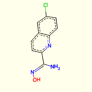 N/C(=N\O)c1ccc2cc(Cl)ccc2n1